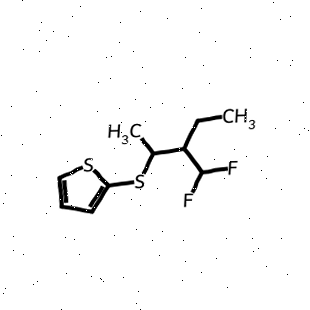 CCC(C(F)F)C(C)Sc1cccs1